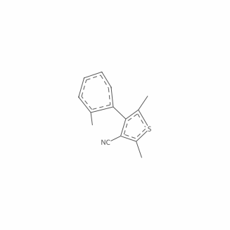 Cc1ccccc1-c1c(C)sc(C)c1C#N